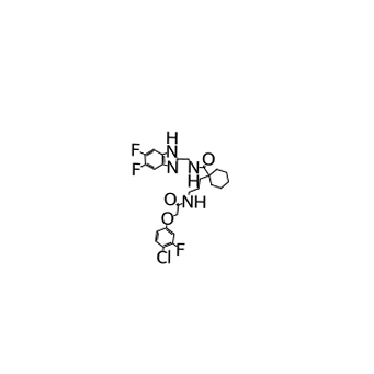 O=C(COc1ccc(Cl)c(F)c1)NCCCC1(C(=O)NCc2nc3cc(F)c(F)cc3[nH]2)CCCCC1